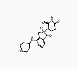 O=C1CCC([N+]2([O-])Cc3c(NC4CCNCC4)cccc3C2=O)C(=O)N1